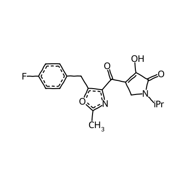 Cc1nc(C(=O)C2=C(O)C(=O)N(C(C)C)C2)c(Cc2ccc(F)cc2)o1